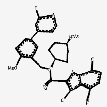 CN[C@H]1CC[C@@H](N(Cc2cc(-c3ccnc(F)c3)ccc2OC)C(=O)c2sc3c(F)ccc(F)c3c2Cl)CC1